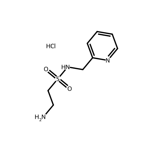 Cl.NCCS(=O)(=O)NCc1ccccn1